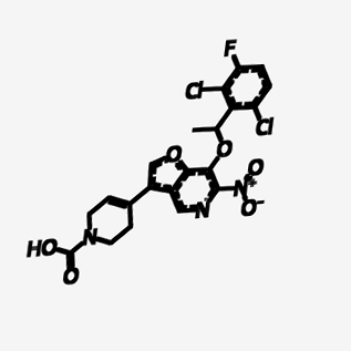 CC(Oc1c([N+](=O)[O-])ncc2c(C3=CCN(C(=O)O)CC3)coc12)c1c(Cl)ccc(F)c1Cl